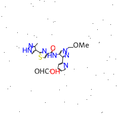 COCCn1cc(NC(=O)c2csc(-c3c[nH]nc3C)n2)c(-c2ccccn2)n1.O=CO